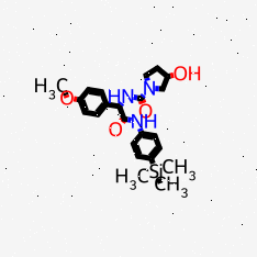 COc1ccc(C(NC(=O)N2CCC(O)C2)C(=O)Nc2ccc([Si](C)(C)C)cc2)cc1